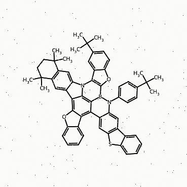 CC(C)(C)c1ccc(N2B3c4oc5ccc(C(C)(C)C)cc5c4-n4c5cc6c(cc5c5c7oc8ccccc8c7c(c3c54)-c3cc4sc5ccccc5c4cc32)C(C)(C)CCC6(C)C)cc1